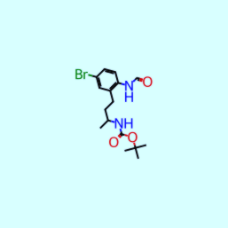 CC(CCc1cc(Br)ccc1NC=O)NC(=O)OC(C)(C)C